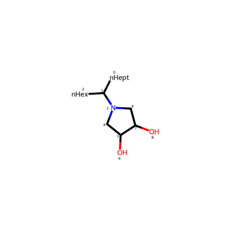 CCCCCCCC(CCCCCC)N1CC(O)C(O)C1